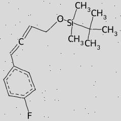 CC(C)(C)[Si](C)(C)OCC=C=Cc1ccc(F)cc1